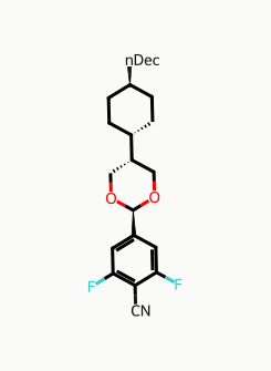 CCCCCCCCCC[C@H]1CC[C@H]([C@H]2CO[C@H](c3cc(F)c(C#N)c(F)c3)OC2)CC1